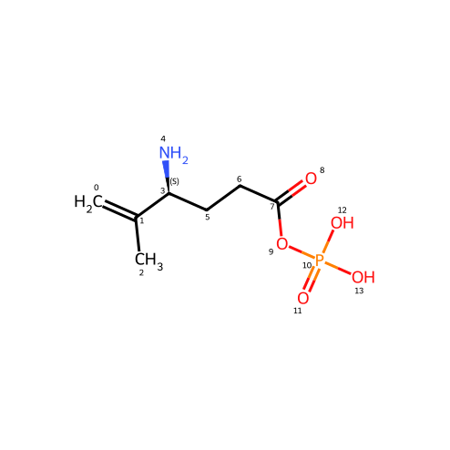 C=C(C)[C@@H](N)CCC(=O)OP(=O)(O)O